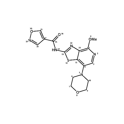 COc1ncc(N2CCOCC2)c2sc(NC(=O)c3cnoc3)nc12